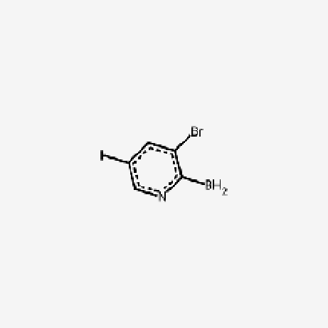 Bc1ncc(I)cc1Br